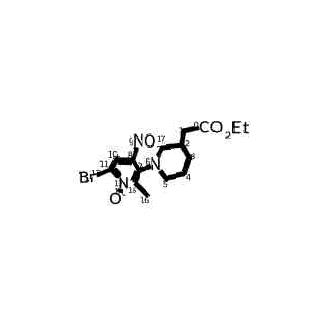 CCOC(=O)CC1CCCN(c2c([N+](=O)[O-])cc(Br)[n+]([O-])c2C)C1